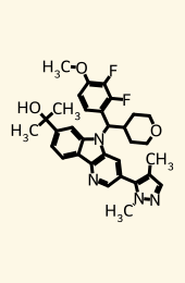 COc1ccc(C(C2CCOCC2)n2c3cc(C(C)(C)O)ccc3c3ncc(-c4c(C)cnn4C)cc32)c(F)c1F